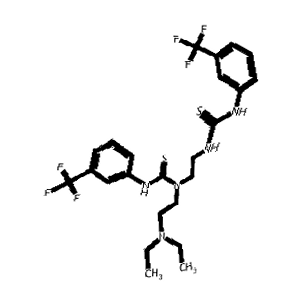 CCN(CC)CCN(CCNC(=S)Nc1cccc(C(F)(F)F)c1)C(=S)Nc1cccc(C(F)(F)F)c1